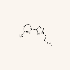 Cc1cccc(-c2ccn(CCN)n2)n1